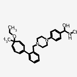 CCOC1(C)C=CC=C(c2ccccc2CN2CCN(c3ccc(C(O)NC)cc3)CC2)C=C1